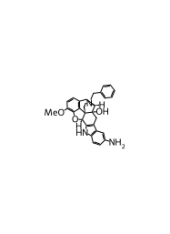 COc1ccc2c3c1O[C@H]1c4[nH]c5ccc(N)cc5c4C[C@@]4(O)[C@@H](C2)N(Cc2ccccc2)CC[C@]314